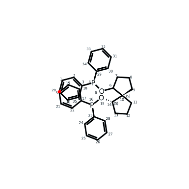 c1ccc(P(OC2CCC[C@]23CCC[C@@H]3OP(c2ccccc2)c2ccccc2)c2ccccc2)cc1